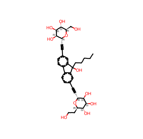 CCCCCC1(O)c2cc(C#C[C@H]3O[C@H](CO)[C@@H](O)[C@H](O)[C@@H]3O)ccc2-c2ccc(C#C[C@H]3O[C@H](CCO)[C@@H](O)[C@H](O)[C@@H]3O)cc21